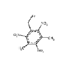 Cc1c([N+](=O)[O-])c(C)c([N+](=O)[O-])c(CC(C)C)c1[N+](=O)[O-]